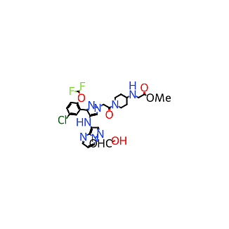 COC(=O)CNC1CCN(C(=O)Cn2cc(Nc3cnn4cccnc34)c(-c3cc(Cl)ccc3OC(F)F)n2)CC1.O=CO